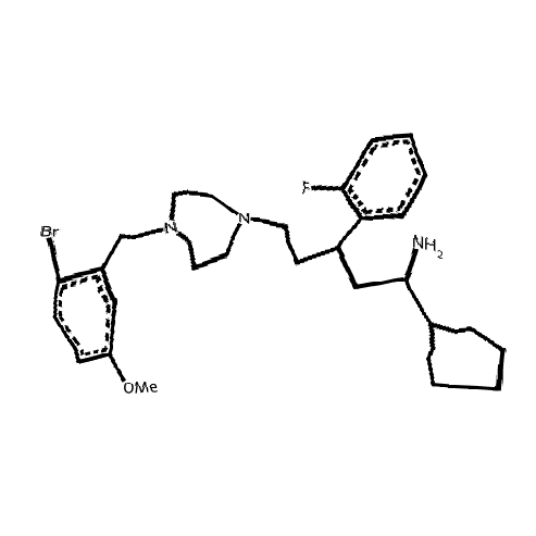 COc1ccc(Br)c(CN2CCN(CCC(CC(N)C3CCCCC3)c3ccccc3F)CC2)c1